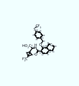 O=C(NC(C(=O)O)C12CC(C(F)(F)F)(C1)C2)c1ccc2ccccc2c1OCc1ccc(SC(F)(F)F)cc1